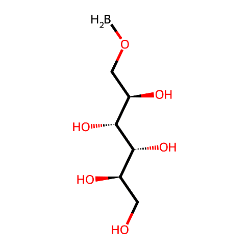 BOC[C@@H](O)[C@@H](O)[C@H](O)[C@H](O)CO